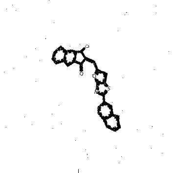 O=C1C(=Cc2cc3sc(-c4ccc5ccccc5c4)nc3o2)C(=O)c2cc3ccccc3cc21